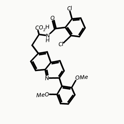 COc1cccc(OC)c1-c1ccc2cc(CC(NC(=O)c3c(Cl)cccc3Cl)C(=O)O)ccc2n1